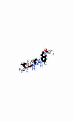 O=C(CCNc1nc(Nc2cc3c(cc2Cl)CN(C(=O)C(F)(F)F)CC3)ncc1C(F)(F)F)NC(C1CC1)C(F)(F)F